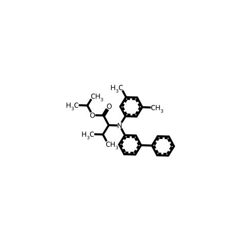 Cc1cc(C)cc(N(c2cccc(-c3ccccc3)c2)C(C(=O)OC(C)C)C(C)C)c1